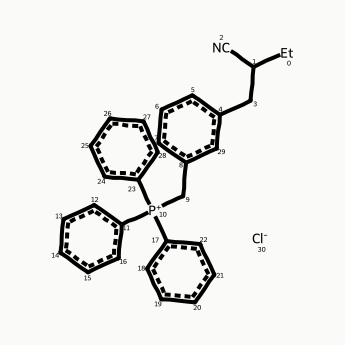 CCC(C#N)Cc1cccc(C[P+](c2ccccc2)(c2ccccc2)c2ccccc2)c1.[Cl-]